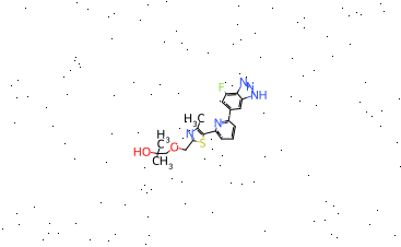 Cc1nc(COCC(C)(C)O)sc1-c1cccc(-c2cc(F)c3nn[nH]c3c2)n1